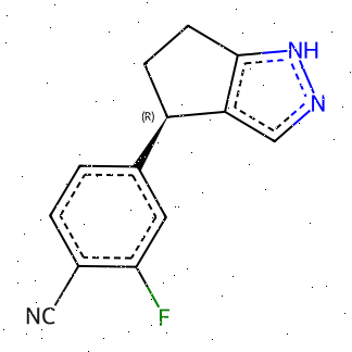 N#Cc1ccc([C@H]2CCc3[nH]ncc32)cc1F